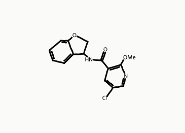 COc1ncc(Cl)cc1C(=O)NC1COc2ccccc21